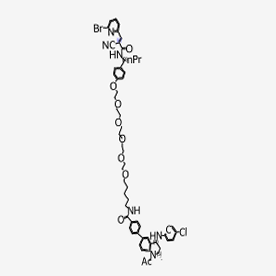 CCC[C@@H](NC(=O)/C(C#N)=C/c1cccc(Br)n1)c1ccc(OCCOCCOCCOCCOCCOCCCCCNC(=O)c2ccc(-c3ccc4c(c3)[C@H](Nc3ccc(Cl)cc3)C[C@H](C)N4C(C)=O)cc2)cc1